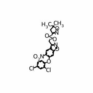 CC1(C)CC(S(=O)(=O)Cc2noc3cc(Oc4ccc(Cl)cc4Cl)c([N+](=O)[O-])cc23)=NO1